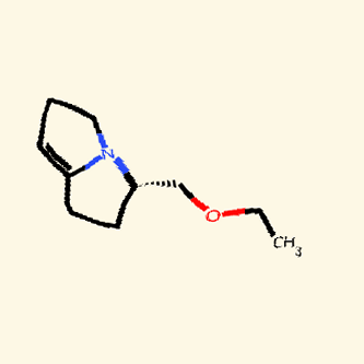 CCOC[C@@H]1CCC2=CCCN21